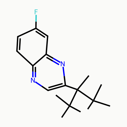 CC(C)(C)C(C)(c1cnc2ccc(F)cc2n1)C(C)(C)C